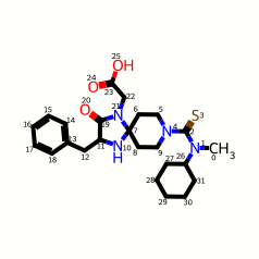 CN(C(=S)N1CCC2(CC1)NC(Cc1ccccc1)C(=O)N2CC(=O)O)C1CCCCC1